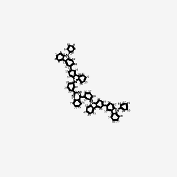 c1ccc(-n2c3ccccc3c3cc(-c4ccc5c(c4)c4ccccc4n5-c4cccc(-c5nc(-c6cccc(-n7c8ccccc8c8cc(-c9ccc%10c(c9)c9ccccc9n%10-c9ccccc9)ccc87)c6)c6ccccc6n5)c4)ccc32)cc1